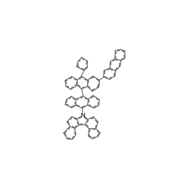 c1ccc(-c2c3ccccc3c(-c3c4ccccc4c(-n4c5ccc6ccccc6c5c5c6ccccc6ccc54)c4ccccc34)c3ccc(-c4ccc5cc6ccccc6cc5c4)cc23)cc1